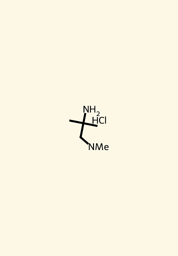 CNCC(C)(C)N.Cl